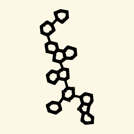 c1ccc(-c2cccc(-c3ccc4cc(-c5ccc(-c6nc(-c7ccccc7)nc(-c7cccc8c7oc7ccccc78)n6)c6ccccc56)c5ccccc5c4c3)c2)cc1